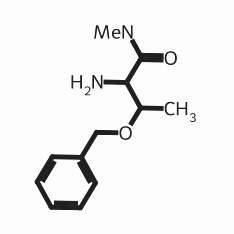 CNC(=O)C(N)C(C)OCc1ccccc1